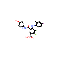 Cc1cc(I)ccc1Nc1c(C(=O)NC2CCC(O)CC2)cc(C(=O)O)c(F)c1F